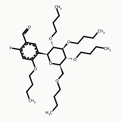 CCCCOC[C@H]1O[C@@H](c2cc(C=O)c(F)cc2OCCCC)[C@H](OCCCC)[C@@H](OCCCC)[C@@H]1OCCCC